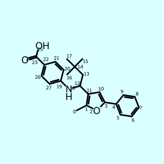 Cc1oc(-c2ccccc2)cc1C(CC(C)(C)C)Nc1ccc(C(=O)O)cc1